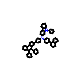 c1ccc(-c2c(-c3ccccc3)c3cc(-c4ccc(N(c5ccc(-c6cccc7ccccc67)cc5)c5ccc6c7ccccc7n(-c7ccccc7)c6c5)cc4)ccc3c3ccccc23)cc1